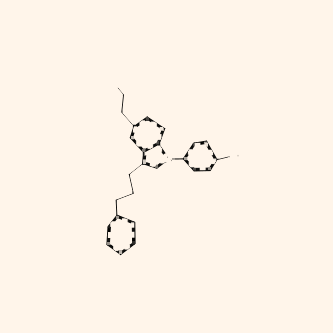 O=C(O)CCc1ccc2c(c1)c(CCCc1ccccc1)cn2-c1ccc(O)cc1